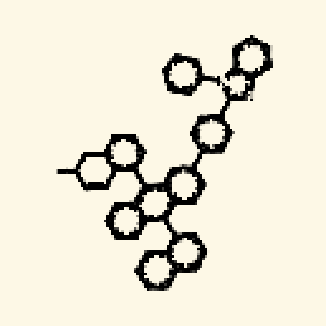 CC1C=Cc2c(cccc2-c2c3ccccc3c(-c3cccc4ccccc34)c3ccc(-c4ccc(-c5nc6ccccc6n5-c5ccccc5)cc4)cc23)C1